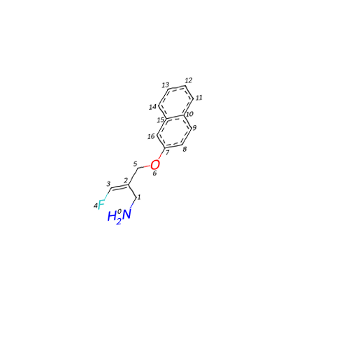 NC/C(=C\F)COc1ccc2ccccc2c1